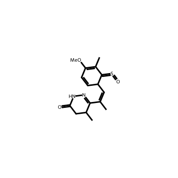 COC1=C(C)C(=S=O)C(C=C(C)C2=NNC(=O)CC2C)C=C1